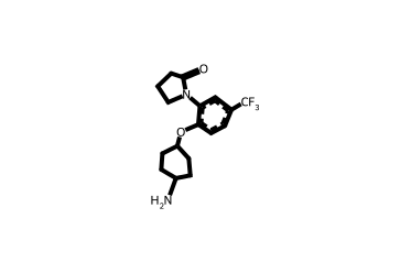 NC1CCC(Oc2ccc(C(F)(F)F)cc2N2CCCC2=O)CC1